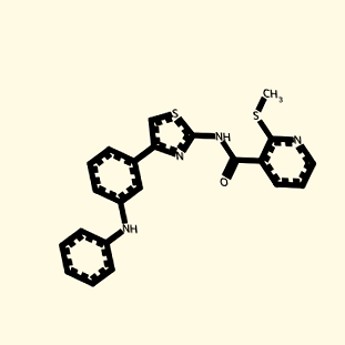 CSc1ncccc1C(=O)Nc1nc(-c2cccc(Nc3ccccc3)c2)cs1